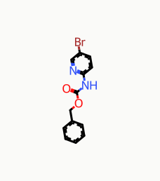 O=C(Nc1ccc(Br)cn1)OCc1ccccc1